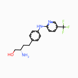 N[C@H](CO)CCc1ccc(Nc2ccc(C(F)(F)F)cn2)cc1